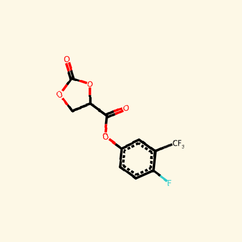 O=C1OCC(C(=O)Oc2ccc(F)c(C(F)(F)F)c2)O1